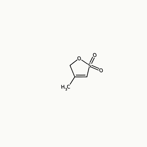 CC1=CS(=O)(=O)OC1